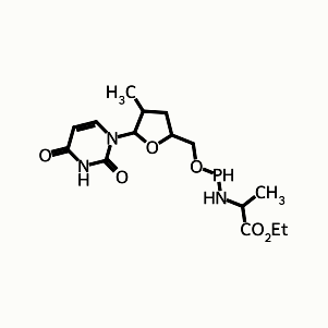 CCOC(=O)C(C)NPOCC1CC(C)C(n2ccc(=O)[nH]c2=O)O1